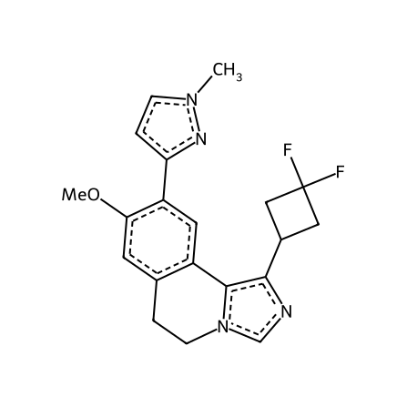 COc1cc2c(cc1-c1ccn(C)n1)-c1c(C3CC(F)(F)C3)ncn1CC2